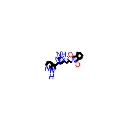 Nc1nc(CCCN2C(=O)c3ccccc3C2=O)cc(-c2c[nH]c3ncccc23)n1